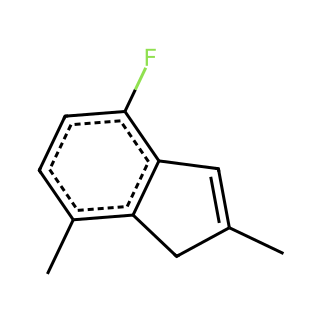 CC1=Cc2c(F)ccc(C)c2C1